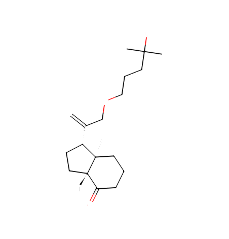 C=C(COCCCC(C)(C)O)[C@H]1CC[C@H]2C(=O)CCC[C@]12C